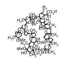 CC[C@@H](C(=O)O)[C@@H]1O[C@@H]([C@@H](C)[C@H](O)[C@H](C)C(=O)[C@H](CC)[C@H]2O[C@]3(C=C[C@@H](O)[C@]4(CC[C@@](C)([C@H]5CC[C@](O)(CC)[C@H](C)O5)O4)O3)[C@H](C)C[C@@H]2C)[C@@H](C)C[C@@H]1C.CO[C@@H]1[C@@H](O)[C@H](C)[C@@](O)(CC(=O)O)O[C@@H]1[C@H](C)[C@H]1O[C@@]2(CC[C@@](C)([C@H]3CC[C@@](C)([C@@H]4O[C@@H]([C@H]5O[C@](C)(O)[C@H](C)C[C@@H]5C)C[C@@H]4O[C@H]4CC[C@H](OC)[C@@H](C)O4)O3)O2)C[C@H](O)[C@H]1C